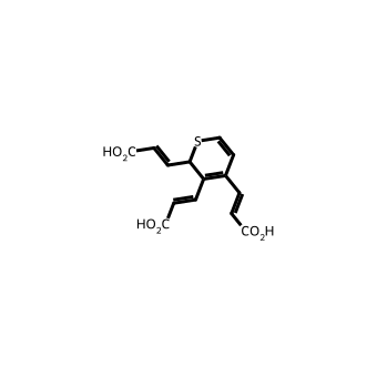 O=C(O)C=CC1=C(C=CC(=O)O)C(C=CC(=O)O)SC=C1